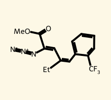 CCC(=Cc1ccccc1C(F)(F)F)C=C(N=[N+]=[N-])C(=O)OC